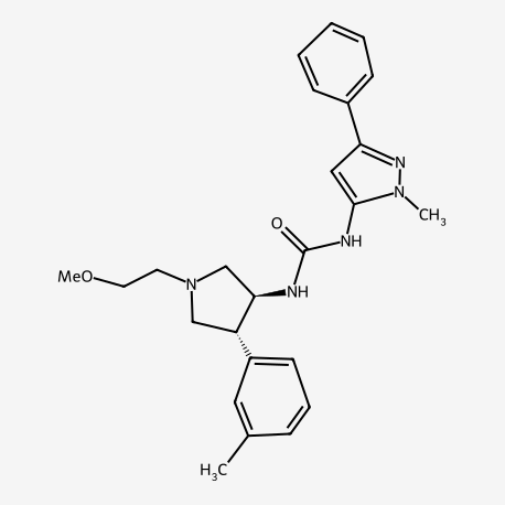 COCCN1C[C@@H](NC(=O)Nc2cc(-c3ccccc3)nn2C)[C@H](c2cccc(C)c2)C1